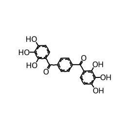 O=C(c1ccc(C(=O)c2ccc(O)c(O)c2O)cc1)c1ccc(O)c(O)c1O